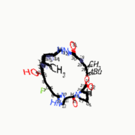 CC1=C\[C@@H](O)C[C@@H](F)Cc2nc(c[nH]2)C(=O)N2CCC[C@@H]2C(=O)O[C@H](C(C)(C)C)[C@H](C)/C=C/C(=O)NC\C=C\1